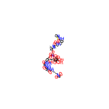 Cc1c(-c2ccc(N3CCc4cccc(C(=O)Nc5nc6ccccc6s5)c4C3)nc2C(=O)O)cnn1CC12CC3(C)CC(C)(C1)CC(OCCN(C)C(=O)OCc1ccc(NC(=O)[C@H](C)NC(=O)[C@@H](NC(=O)CCCCCN4C(=O)C=CC4=O)C(C)C)cc1C#C[C@@H]1O[C@H](C(=O)O)[C@@H](O)[C@H](O)[C@H]1O)(C3)C2